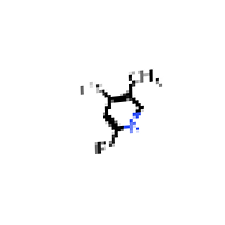 Cc1cnc(C(C)C)cc1C(C)C